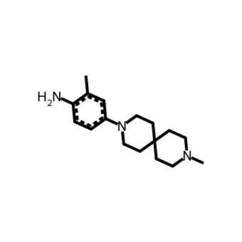 Cc1cc(N2CCC3(CCN(C)CC3)CC2)ccc1N